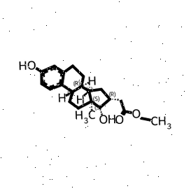 CCOC(=O)C[C@H]1C[C@H]2[C@@H]3CCc4cc(O)ccc4[C@H]3CC[C@]2(C)[C@H]1O